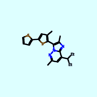 CCC(CC)c1cc(C)nn2c(-c3sc(-c4cccs4)cc3C)c(C)nc12